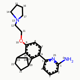 Nc1cccc(-c2ccc(OCCN3CCCC3)c3c2C2CCC3C2)n1